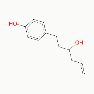 C=CCC(O)CCc1ccc(O)cc1